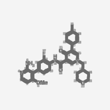 COc1ccnc(N)c1-c1ccc(NC(=O)c2cn(CC3CCOCC3)cc(-c3ccc(C)cc3)c2=O)c(F)c1